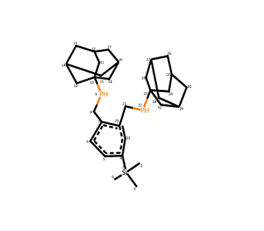 C[Si](C)(C)c1ccc(CPC23CC4CC(CC(C4)C2)C3)c(CPC23CC4CC(CC(C4)C2)C3)c1